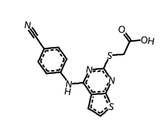 N#Cc1ccc(Nc2nc(SCC(=O)O)nc3sccc23)cc1